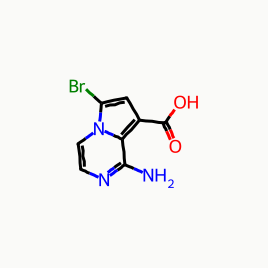 Nc1nccn2c(Br)cc(C(=O)O)c12